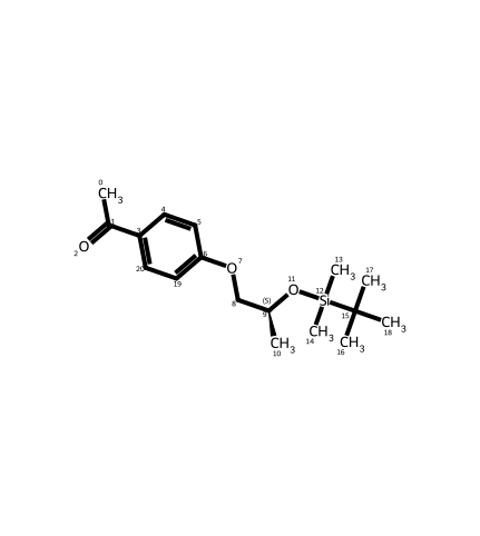 CC(=O)c1ccc(OC[C@H](C)O[Si](C)(C)C(C)(C)C)cc1